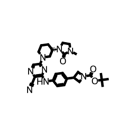 CN1CCN([C@@H]2CCCN(c3cnc(C#N)c(Nc4ccc(C5CN(C(=O)OC(C)(C)C)C5)cc4)n3)C2)C1=O